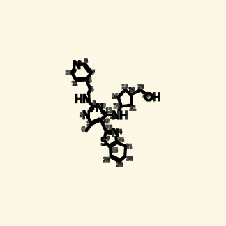 Cc1nc(NCc2ccncc2)nc(N[C@H]2CC[C@@H](CO)C2)c1-c1nc2c(s1)C=CCC2